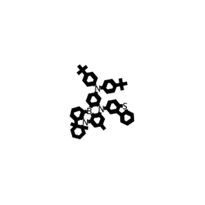 Cc1cc2c3c(c1)N1c4c(cccc4C4(C)CCCCC14C)B3c1ccc(N(c3ccc(C(C)(C)C)cc3)c3ccc(C(C)(C)C)cc3)cc1N2c1ccc2sc3ccccc3c2c1